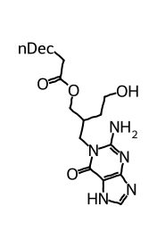 CCCCCCCCCCCC(=O)OCC(CCO)Cn1c(N)nc2nc[nH]c2c1=O